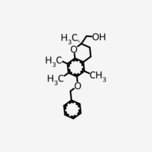 Cc1c(C)c2c(c(C)c1OCc1ccccc1)CC[C@](C)(CO)O2